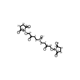 O=C(CC[S+]([O-])CCC(=O)CON1C(=O)CCC1=O)CON1C(=O)CCC1=O